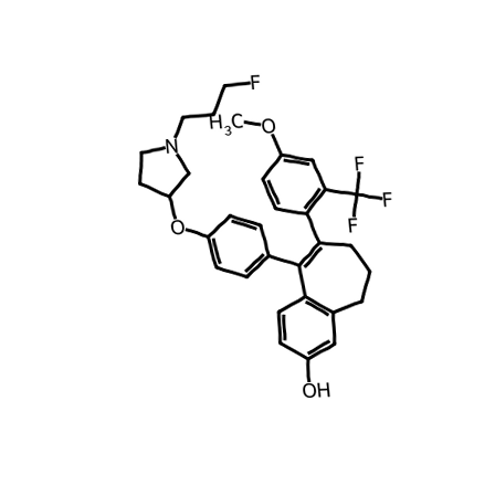 COc1ccc(C2=C(c3ccc(OC4CCN(CCCF)C4)cc3)c3ccc(O)cc3CCC2)c(C(F)(F)F)c1